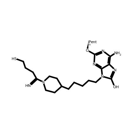 CCC[C@H](C)Oc1nc(N)c2nc(O)n(CCCCCC3CCN(C(=N)CCCS)CC3)c2n1